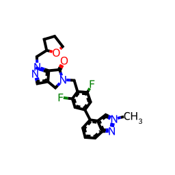 Cn1cc2c(-c3cc(F)c(CN4Cc5cnn(CC6CCCO6)c5C4=O)c(F)c3)cccc2n1